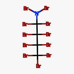 BrN(Br)C(Br)(Br)C(Br)(Br)C(Br)(Br)C(Br)(Br)Br